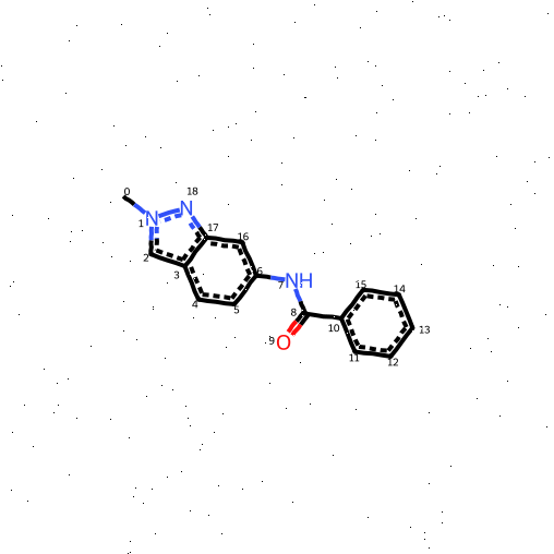 Cn1cc2ccc(NC(=O)c3ccccc3)cc2n1